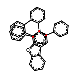 c1ccc(-c2nnc(-c3ccccc3)n2-c2ccccc2-c2ccccc2-c2cccc3c2oc2ccccc23)cc1